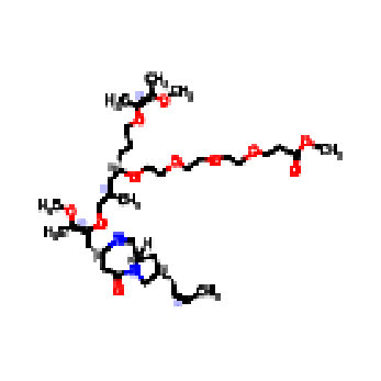 C/C=C\C[C@H]1C[C@H]2C=N[C@@H](C/C(OC/C(C)=C/[C@H](CCCO/C(C)=C(/C)OC)OCCOCCOCCOCCC(=O)OC)=C(\C)OC)CC(=O)N2C1